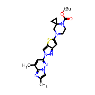 Cc1cn2nc(-n3cc4sc(N5CCN(C(=O)OC(C)(C)C)C6(CC6)C5)cc4n3)cc(C)c2n1